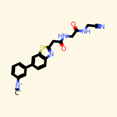 [C-]#[N+]c1cccc(-c2ccc3nc(CC(=O)NCC(=O)NCC#N)sc3c2)c1